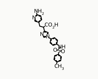 Cc1ccc(S(=O)(=O)Nc2ccc(-n3cnc(C(Cc4ccc(N)nc4)C(=O)O)c3)cc2)cc1